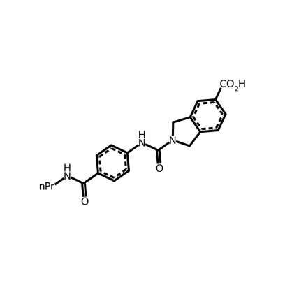 CCCNC(=O)c1ccc(NC(=O)N2Cc3ccc(C(=O)O)cc3C2)cc1